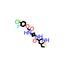 O=C(COc1ccc(Cl)c(F)c1)NC12CC(NC(=O)C3CNC4SCCC4C3)(C1)C2